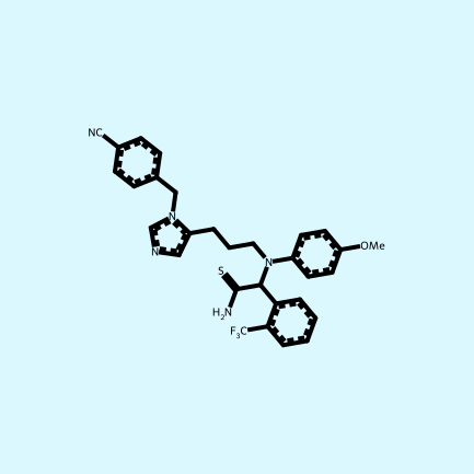 COc1ccc(N(CCCc2cncn2Cc2ccc(C#N)cc2)C(C(N)=S)c2ccccc2C(F)(F)F)cc1